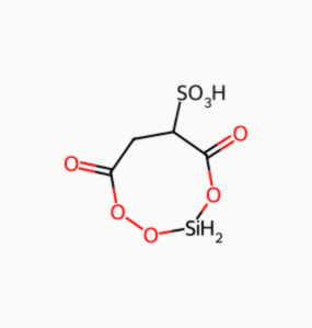 O=C1CC(S(=O)(=O)O)C(=O)O[SiH2]OO1